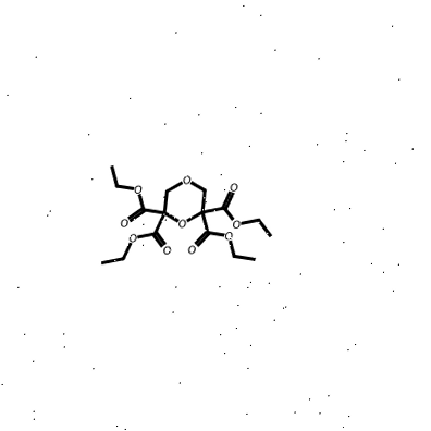 CCOC(=O)C1(C(=O)OCC)COCC(C(=O)OCC)(C(=O)OCC)O1